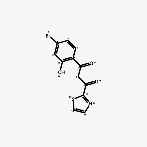 O=C(CC(=O)c1ccc(Br)cc1O)c1nccs1